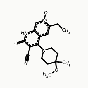 CCc1cc2c(N3CCC(C)(OC)CC3)c(C#N)c(=O)[nH]c2c[n+]1[O-]